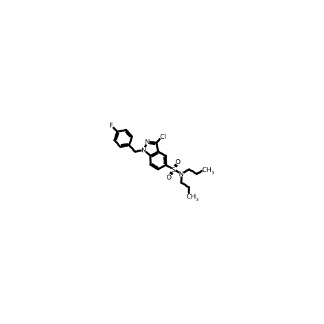 CCCN(CCC)S(=O)(=O)c1ccc2c(c1)c(Cl)nn2Cc1ccc(F)cc1